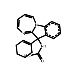 CC(=O)NC1(C2=CCCCC2)C2=NC=CC=CN2c2ccccc21